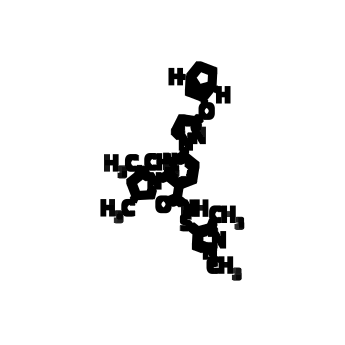 Cc1nn(C)cc1SNC(=O)c1ccc(-n2ccc(O[C@H]3C[C@H]4CC[C@@H]3C4)n2)nc1N1C[C@@H](C)CC1(C)C